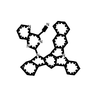 N#Cc1nc(-n2c3ccccc3c3cc4c5ccccc5n5c6cc7ccccc7cc6c(c32)c45)nc2cccnc12